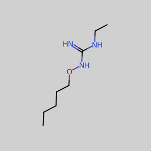 CCCCCONC(=N)NCC